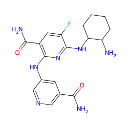 NC(=O)c1cncc(Nc2nc(NC3CCCCC3N)c(F)cc2C(N)=O)c1